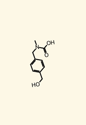 CN(Cc1ccc(CO)cc1)C(=O)O